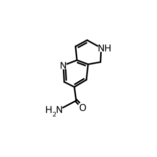 NC(=O)c1cnc2c(c1)CNC=C2